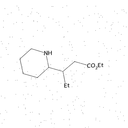 CCOC(=O)CC(CC)C1CCCCN1